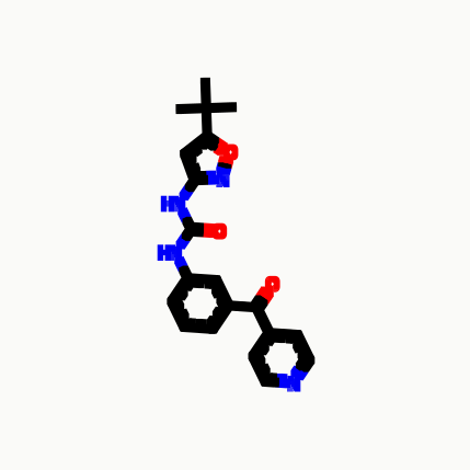 CC(C)(C)c1cc(NC(=O)Nc2cccc(C(=O)c3ccncc3)c2)no1